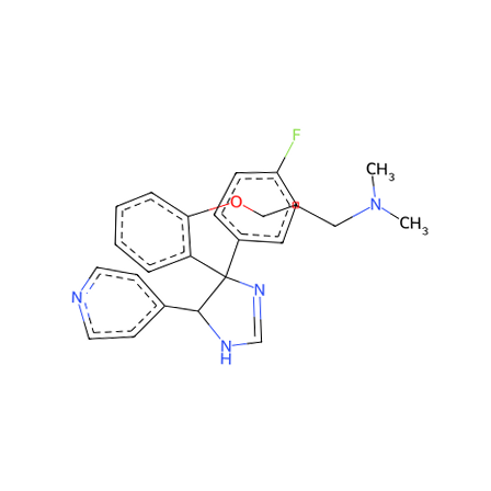 CN(C)CCCOc1ccccc1C1(c2ccc(F)cc2)N=CNC1c1ccncc1